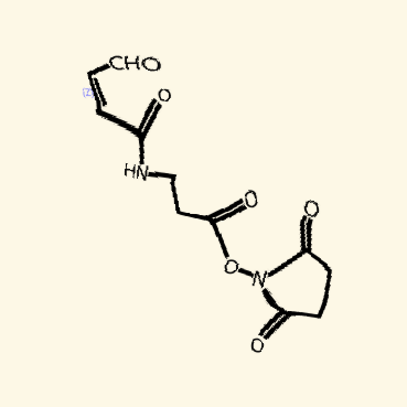 O=C/C=C\C(=O)NCCC(=O)ON1C(=O)CCC1=O